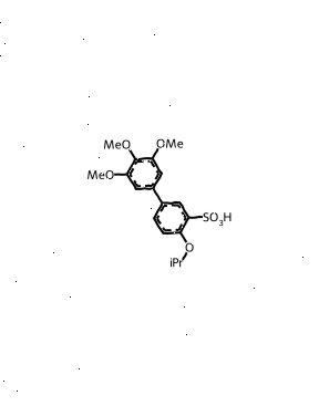 COc1cc(-c2ccc(OC(C)C)c(S(=O)(=O)O)c2)cc(OC)c1OC